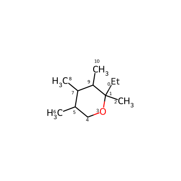 CCC1(C)OCC(C)C(C)C1C